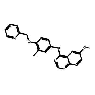 CC(=O)Oc1ccc2ncnc(Nc3ccc(OCc4ccccn4)c(C)c3)c2c1